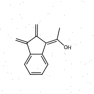 C=C1C(=C)c2ccccc2/C1=C(/C)O